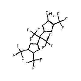 CC1CC(C(C2CC(C(F)(F)F)C(C(F)(F)F)C2)(C(F)(F)F)C(F)(F)F)CC1C(F)(F)F